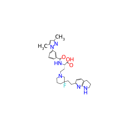 Cc1cc(C)n(-c2cccc(C(=O)N[C@@H](CCN3CCC[C@@](F)(CCc4ccc5c(n4)NCCC5)C3)C(=O)O)c2)n1